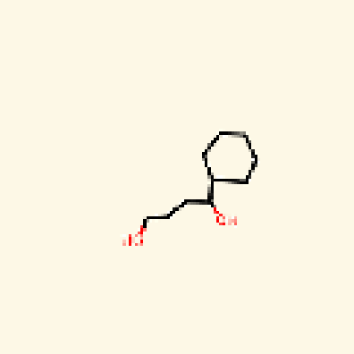 OCCCC(O)C1CCCCC1